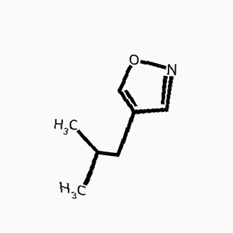 CC(C)Cc1cnoc1